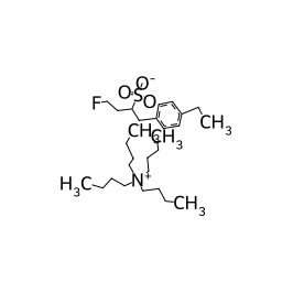 CCCC[N+](CCCC)(CCCC)CCCC.CCc1ccc(CC(CCF)S(=O)(=O)[O-])cc1